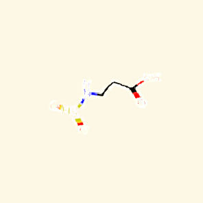 O=C(O)CCN[SH](=O)=O